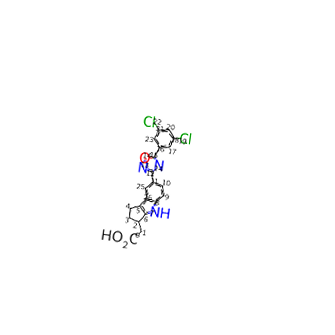 O=C(O)CC1CCc2c1[nH]c1ccc(-c3noc(-c4cc(Cl)cc(Cl)c4)n3)cc21